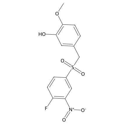 COc1ccc(CS(=O)(=O)c2ccc(F)c([N+](=O)[O-])c2)cc1O